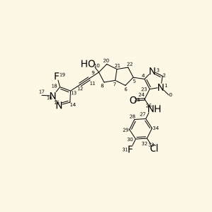 Cn1cnc(C2CC3CC(O)(C#Cc4cnn(C)c4F)CC3C2)c1C(=O)Nc1ccc(F)c(Cl)c1